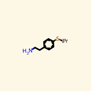 CC(C)Sc1ccc(CCN)cc1